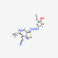 Cc1ncc2c(/N=N/c3ccc(O)c(C#N)c3)snc2c1C#N